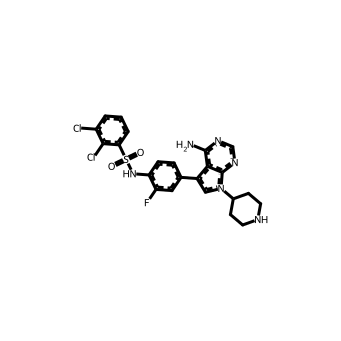 Nc1ncnc2c1c(-c1ccc(NS(=O)(=O)c3cccc(Cl)c3Cl)c(F)c1)cn2C1CCNCC1